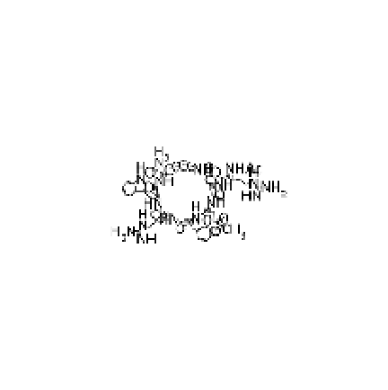 CC(=O)N[C@@H](CCCNC(=N)N)C(=O)N[C@H]1CC(=O)NCCCC[C@@H](C(N)=O)NC(=O)[C@H](Cc2c[nH]c3ccccc23)NC(=O)[C@H](CCCNC(=N)N)NC(=O)[C@@H](Cc2ccccc2)NC(=O)[C@H](CCS(C)(=O)=O)NC1=O